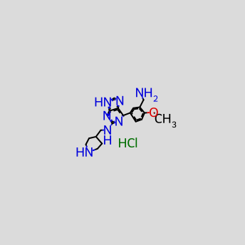 COc1ccc(-c2nc(NCC3CCNCC3)nc3[nH]cnc23)cc1CN.Cl